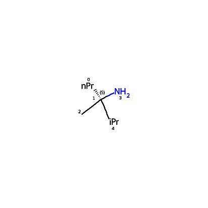 CCC[C@](C)(N)C(C)C